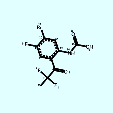 CC(F)(F)C(=O)c1cc(F)c(Br)cc1NC(=O)O